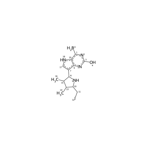 Bc1nc(O)nc2c(C3NC(CI)C(C)C3C)c[nH]c12